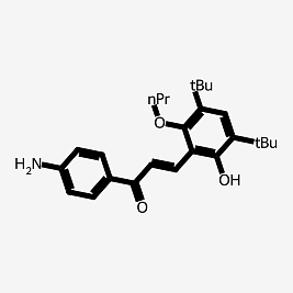 CCCOc1c(C(C)(C)C)cc(C(C)(C)C)c(O)c1C=CC(=O)c1ccc(N)cc1